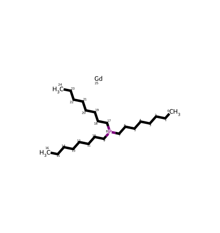 CCCCCCCCP(CCCCCCCC)CCCCCCCC.[Gd]